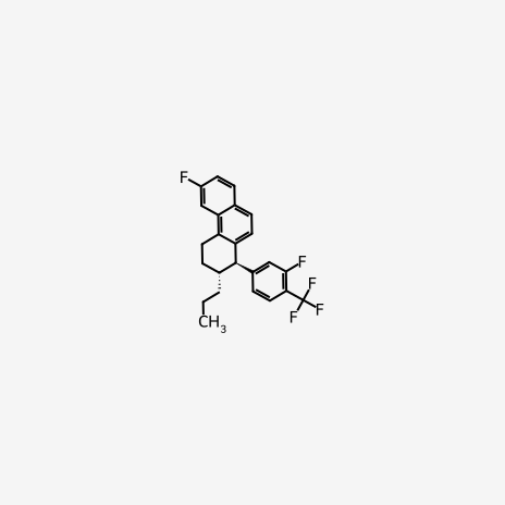 CCC[C@@H]1CCc2c(ccc3ccc(F)cc23)[C@H]1c1ccc(C(F)(F)F)c(F)c1